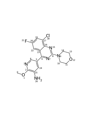 COc1ncc(-c2nc(N3CCOCC3)nc3c(Cl)cc(F)cc23)cc1N